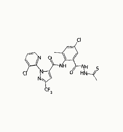 CC(=S)NNC(=O)c1cc(Cl)cc(C)c1NC(=O)c1cc(C(F)(F)F)nn1-c1ncccc1Cl